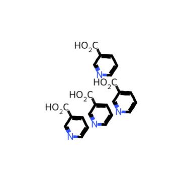 O=C(O)c1cccnc1.O=C(O)c1cccnc1.O=C(O)c1cccnc1.O=C(O)c1cccnc1